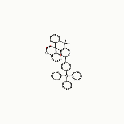 CC1(C)c2ccccc2C2(c3ccccc3Oc3ccccc32)c2cc(-c3ccc([Si](c4ccccc4)(c4ccccc4)c4ccccc4)cc3)ccc21